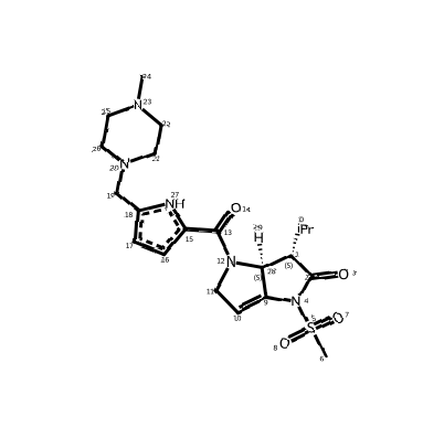 CC(C)[C@@H]1C(=O)N(S(C)(=O)=O)C2=CCN(C(=O)c3ccc(CN4CCN(C)CC4)[nH]3)[C@H]21